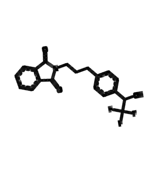 O=C1c2ccccc2C(=O)N1CCCc1ccc(C(O)C(F)(F)F)cc1